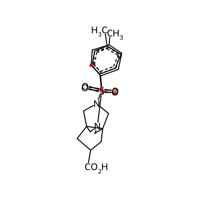 Cc1ccc(S(=O)(=O)N2CC34CC(C(=O)O)CC3(C2)CN(S(=O)(=O)c2ccc(C)cc2)C4)cc1